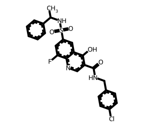 CC(NS(=O)(=O)c1cc(F)c2ncc(C(=O)NCc3ccc(Cl)cc3)c(O)c2c1)c1ccccc1